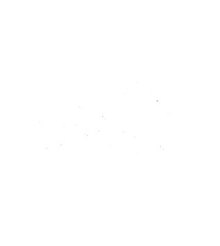 O=C(Nc1ncc(-c2ccncc2-c2ccccc2Cl)s1)C1CCOCC1